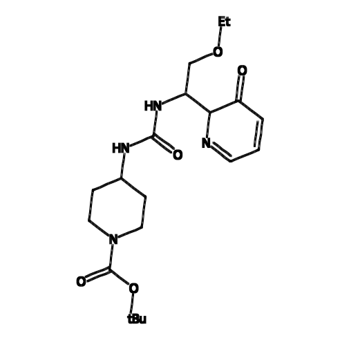 CCOCC(NC(=O)NC1CCN(C(=O)OC(C)(C)C)CC1)C1N=CC=CC1=O